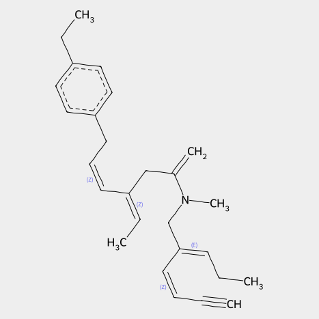 C#C/C=C\C(=C/CC)CN(C)C(=C)CC(/C=C\Cc1ccc(CC)cc1)=C/C